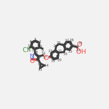 Cc1cccc(Cl)c1-c1noc(C2CC2)c1COc1ccc2c(c1)CCc1ccc(C(=O)O)cc1C2